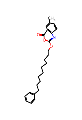 Cc1ccc2nc(OCCCCCCCCCCc3ccccc3)oc(=O)c2c1